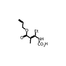 C=CCOC(=O)C(C)=C(CC)NC(=O)O